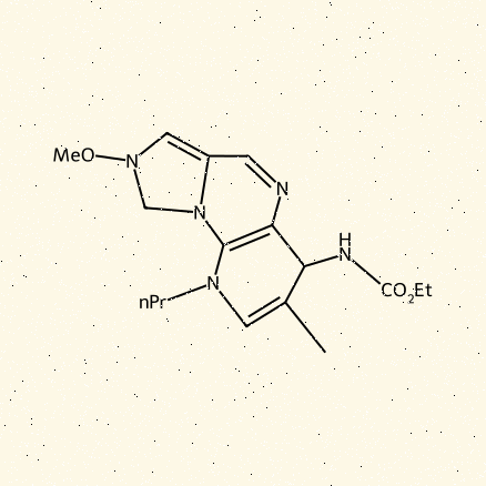 CCCN1C=C(C)C(NC(=O)OCC)C2=C1N1CN(OC)C=C1C=N2